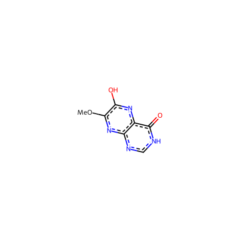 COc1nc2nc[nH]c(=O)c2nc1O